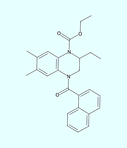 CCOC(=O)N1c2cc(C)c(C)cc2N(C(=O)c2cccc3ccccc23)CC1CC